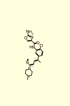 C=N/C(=C\C=C(/C)c1ccc(Cl)c(NC(=O)c2coc(N)n2)c1)N1CCN(C)CC1